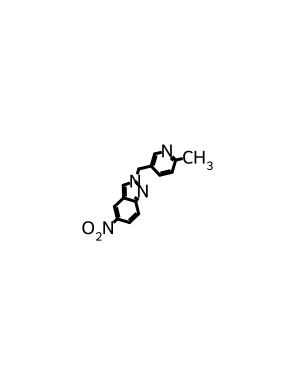 Cc1ccc(Cn2cc3cc([N+](=O)[O-])ccc3n2)cn1